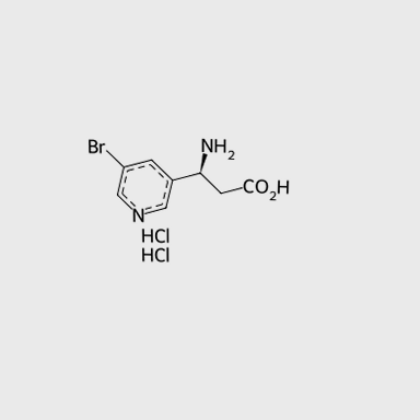 Cl.Cl.N[C@@H](CC(=O)O)c1cncc(Br)c1